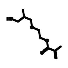 C=C(C)C(=O)OCCOCC(C)CO